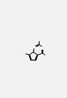 CC1=CC=C2C(Cl)=NC(N)=NC12